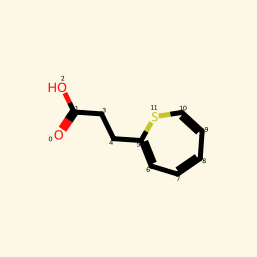 O=C(O)CCC1=CC=CC=CS1